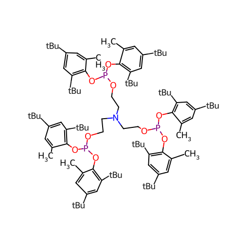 Cc1cc(C(C)(C)C)cc(C(C)(C)C)c1OP(OCCN(CCOP(Oc1c(C)cc(C(C)(C)C)cc1C(C)(C)C)Oc1c(C)cc(C(C)(C)C)cc1C(C)(C)C)CCOP(Oc1c(C)cc(C(C)(C)C)cc1C(C)(C)C)Oc1c(C)cc(C(C)(C)C)cc1C(C)(C)C)Oc1c(C)cc(C(C)(C)C)cc1C(C)(C)C